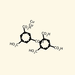 O=C(O)c1cc(C(=O)O)cc(C(=O)O)c1.O=C(O)c1cc(C(=O)O)cc(C(=O)O)c1.[Cu].[Cu]